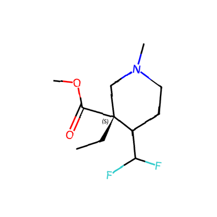 CC[C@@]1(C(=O)OC)CN(C)CCC1C(F)F